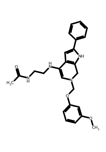 COc1cccc(OCN2C=C(NCCNC(C)=O)c3cc(-c4ccccc4)[nH]c3C2)c1